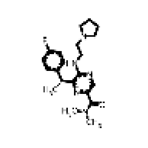 C[C@H](c1ccc(F)cc1)c1nc(C(=O)N(C)C)cnc1NCCN1CCCC1